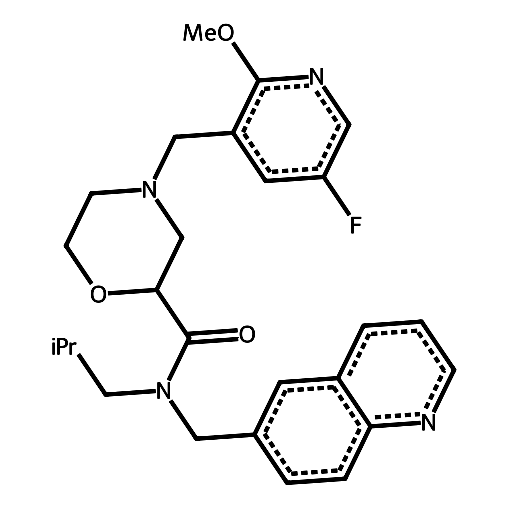 COc1ncc(F)cc1CN1CCOC(C(=O)N(Cc2ccc3ncccc3c2)CC(C)C)C1